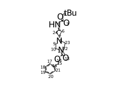 CC(C)(C)OC(=O)N[C@H]1C[C@@H](N2CCN(C(=O)OCc3ccccc3)CC2)C1